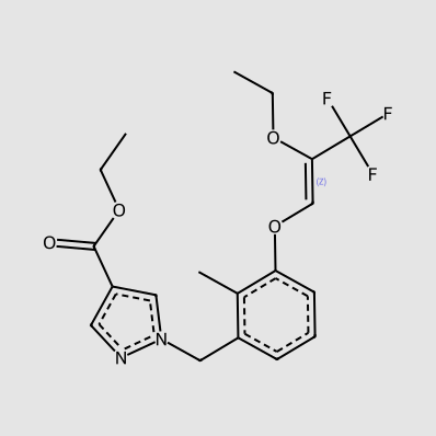 CCOC(=O)c1cnn(Cc2cccc(O/C=C(\OCC)C(F)(F)F)c2C)c1